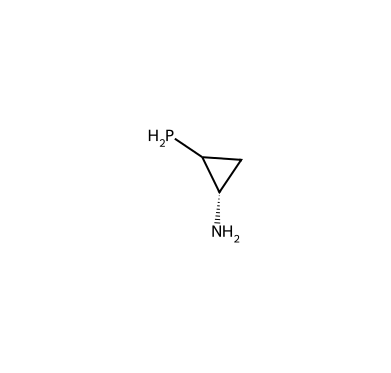 N[C@H]1CC1P